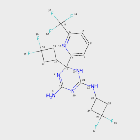 NC1=NC(c2cccc(C(F)(F)F)n2)(C2CC(F)(F)C2)NC(NC2CC(F)(F)C2)=N1